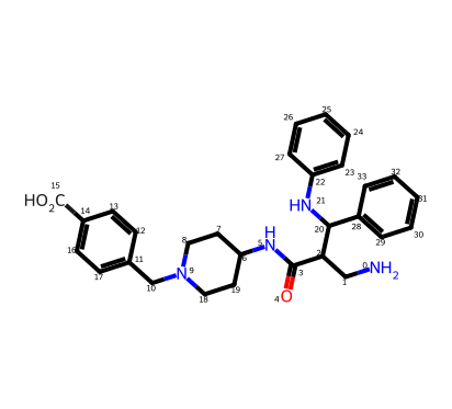 NCC(C(=O)NC1CCN(Cc2ccc(C(=O)O)cc2)CC1)C(Nc1ccccc1)c1ccccc1